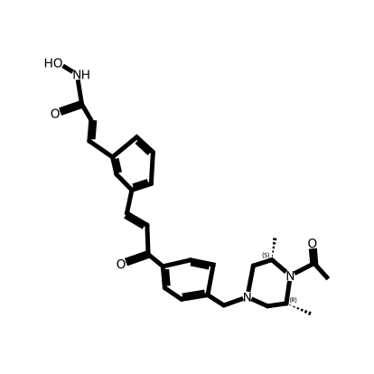 CC(=O)N1[C@H](C)CN(Cc2ccc(C(=O)C=Cc3cccc(C=CC(=O)NO)c3)cc2)C[C@@H]1C